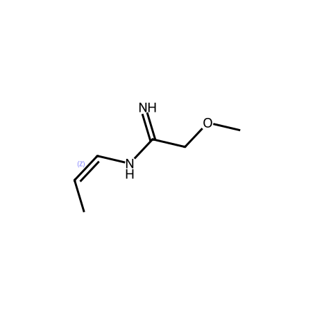 C/C=C\NC(=N)COC